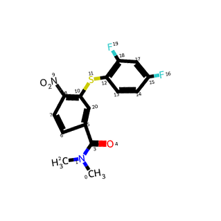 CN(C)C(=O)c1ccc([N+](=O)[O-])c(Sc2ccc(F)cc2F)c1